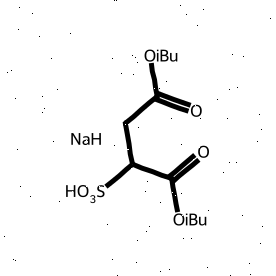 CC(C)COC(=O)CC(C(=O)OCC(C)C)S(=O)(=O)O.[NaH]